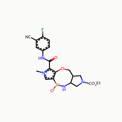 CCOC(=O)N1CC2COc3c(cn(C)c3C(=O)Nc3ccc(F)c(C#N)c3)[S+]([O-])NC2C1